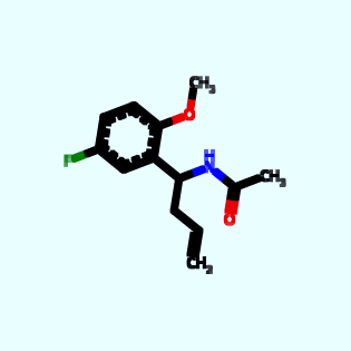 C=CCC(NC(C)=O)c1cc(F)ccc1OC